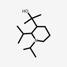 CC(C)C1C(C(C)(C)O)CCCN1C(C)C